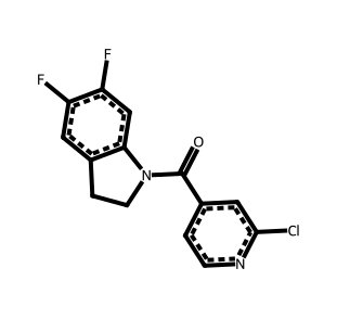 O=C(c1ccnc(Cl)c1)N1CCc2cc(F)c(F)cc21